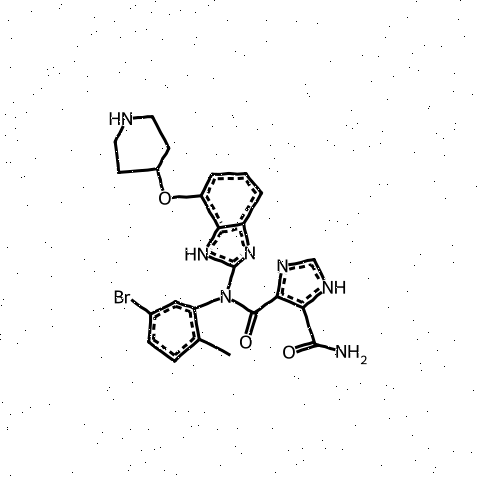 Cc1ccc(Br)cc1N(C(=O)c1nc[nH]c1C(N)=O)c1nc2cccc(OC3CCNCC3)c2[nH]1